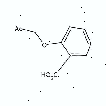 CC(=O)COc1ccccc1C(=O)O